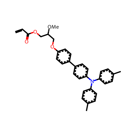 C=CC(=O)OCC(COc1ccc(-c2ccc(N(c3ccc(C)cc3)c3ccc(C)cc3)cc2)cc1)OC